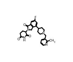 Cc1ncccc1CN1CCC(c2cc(F)cc3c2CN(C2CCC(=O)NC2=O)C3=O)CC1